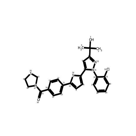 CC(C)(O)c1cc(-c2ccc(-c3ccc(C(=O)N4CCSC4)cc3)s2)n(-c2ccccc2Cl)n1